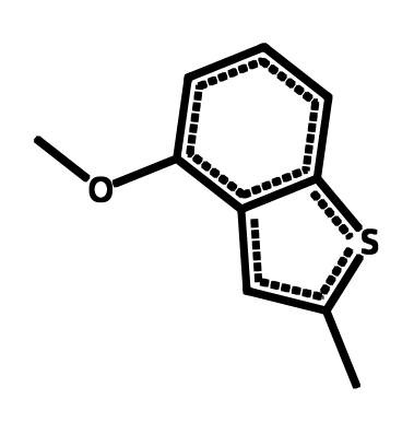 COc1cccc2sc(C)cc12